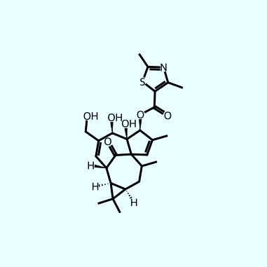 CC1=CC23C(=O)[C@@H](C=C(CO)[C@@H](O)[C@]2(O)[C@H]1OC(=O)c1sc(C)nc1C)[C@H]1[C@@H](CC3C)C1(C)C